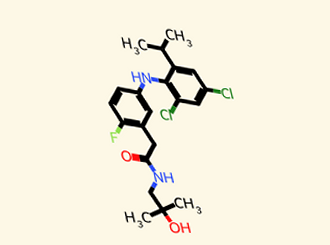 CC(C)c1cc(Cl)cc(Cl)c1Nc1ccc(F)c(CC(=O)NCC(C)(C)O)c1